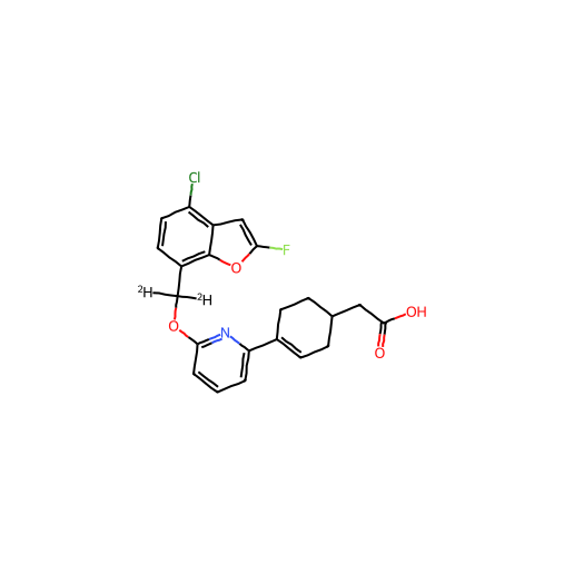 [2H]C([2H])(Oc1cccc(C2=CCC(CC(=O)O)CC2)n1)c1ccc(Cl)c2cc(F)oc12